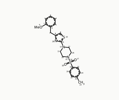 COc1ccccc1Cc1csc(N2CCN(S(=O)(=O)c3ccc(C)cc3)CC2)n1